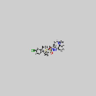 CC(=O)N1CCC2C(c3ccccc31)C2(NS(=O)(=O)C1=CCC(c2ccc(Cl)cc2)S1)C(=O)O